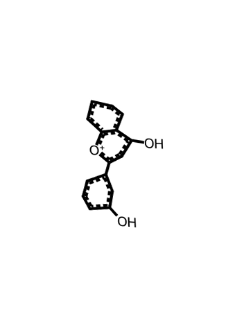 Oc1cccc(-c2cc(O)c3ccccc3[o+]2)c1